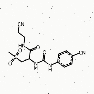 CS(=O)(=O)CC(NC(=O)Nc1ccc(C#N)cc1)C(=O)NCCC#N